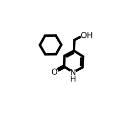 C1CCCCC1.O=c1cc(CO)cc[nH]1